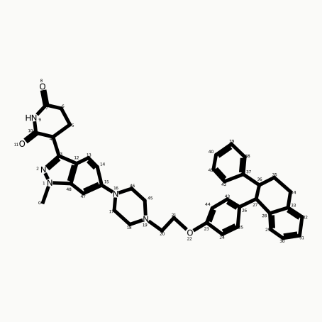 Cn1nc(C2CCC(=O)NC2=O)c2ccc(N3CCN(CCOc4ccc(C5c6ccccc6CCC5c5ccccc5)cc4)CC3)cc21